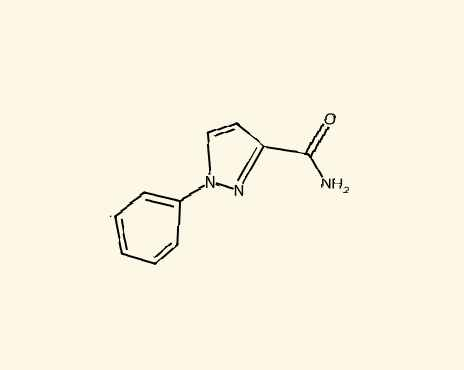 NC(=O)c1ccn(-c2c[c]ccc2)n1